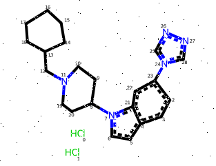 Cl.Cl.c1cc2ccn(C3CCN(CC4CCCCC4)CC3)c2cc1-n1cnnc1